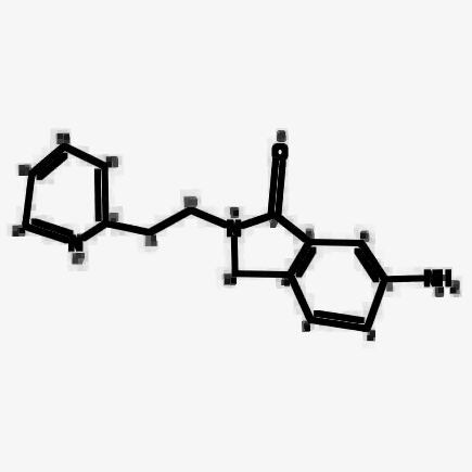 Nc1ccc2c(c1)C(=O)N(CCc1ccccn1)C2